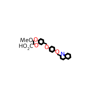 COC(=O)C(Oc1cccc(COc2ccc(OCc3ccc4ccccc4n3)cc2)c1)C(=O)O